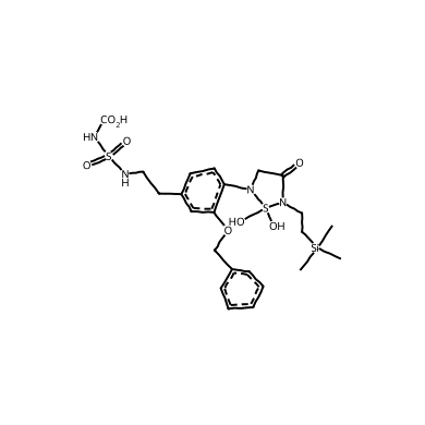 C[Si](C)(C)CCN1C(=O)CN(c2ccc(CCNS(=O)(=O)NC(=O)O)cc2OCc2ccccc2)S1(O)O